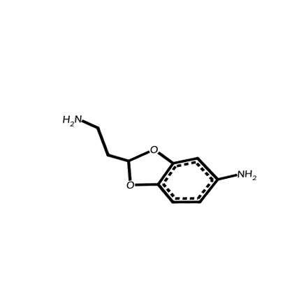 NCCC1Oc2ccc(N)cc2O1